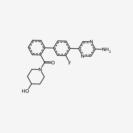 Nc1cnc(-c2ccc(-c3ccccc3C(=O)N3CCC(O)CC3)cc2F)cn1